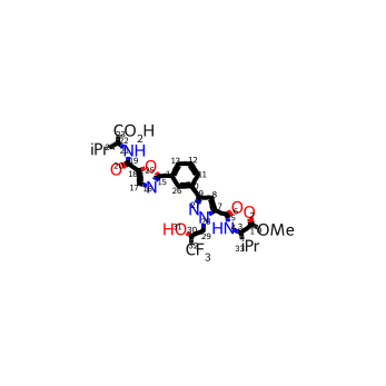 COC(=O)C(NC(=O)c1cc(-c2cccc(-c3ncc(C(=O)NC(C(=O)O)C(C)C)o3)c2)nn1CC(O)C(F)(F)F)C(C)C